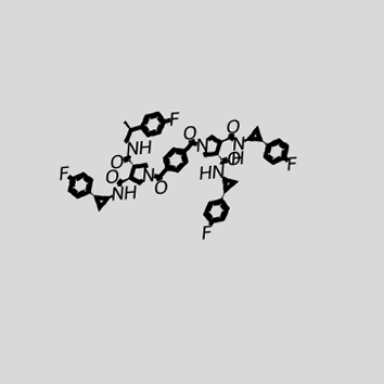 C[C@H](CNC(=O)[C@@H]1CN(C(=O)c2ccc(C(=O)N3C[C@@H](C(=O)N[C@H]4C[C@@H]4c4ccc(F)cc4)[C@H](C(=O)N[C@H]4C[C@@H]4c4ccc(F)cc4)C3)cc2)C[C@H]1C(=O)N[C@H]1C[C@@H]1c1ccc(F)cc1)c1ccc(F)cc1